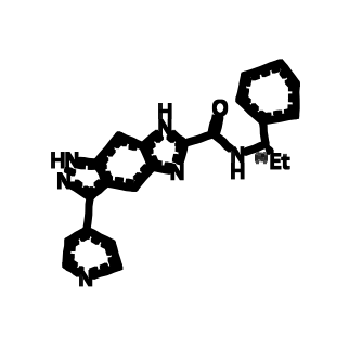 CC[C@@H](NC(=O)c1nc2cc3c(-c4ccncc4)n[nH]c3cc2[nH]1)c1ccccc1